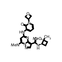 CNc1cc(Nc2cccn(C3COC3)c2=O)nc2c(C(=O)N[C@@H]3CC[C@@]3(C)OC)cnn12